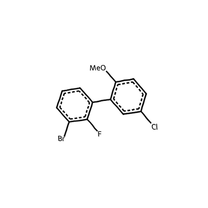 COc1ccc(Cl)cc1-c1cccc(Br)c1F